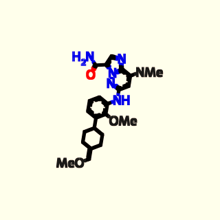 CNc1cc(Nc2cccc(C3CCC(=COC)CC3)c2OC)nn2c(C(N)=O)cnc12